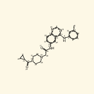 Cc1cccc(Nc2ncnc3ccc(NC(=O)CN4CCN(C(=O)C5CC5)CC4)cc23)c1